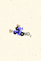 O=[N+]([O-])c1ccc2nc(-c3ccc(Br)[nH]3)c(-c3ccc(Br)[nH]3)nc2c1